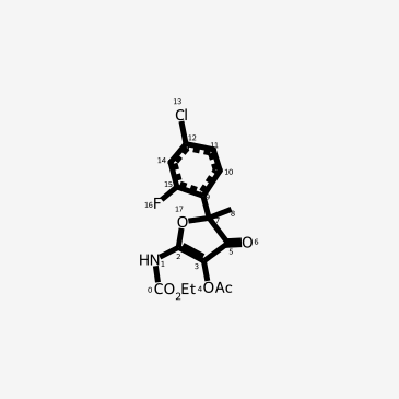 CCOC(=O)NC1=C(OC(C)=O)C(=O)C(C)(c2ccc(Cl)cc2F)O1